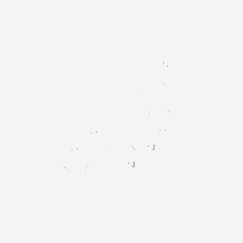 C[C@@H](NC(=O)Nc1ccc2cc([N+](=O)[O-])ccc2c1)c1cccc2ccccc12